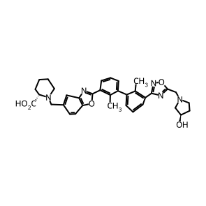 Cc1c(-c2noc(CN3CC[C@@H](O)C3)n2)cccc1-c1cccc(-c2nc3cc(CN4CCCC[C@H]4C(=O)O)ccc3o2)c1C